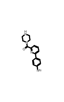 CCCc1ccc(-c2cccc(C(=O)N3CCNCC3)n2)cc1